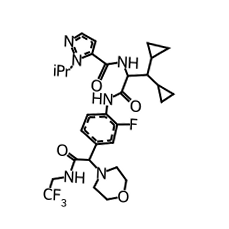 CC(C)n1nccc1C(=O)NC(C(=O)Nc1ccc(C(C(=O)NCC(F)(F)F)N2CCOCC2)cc1F)C(C1CC1)C1CC1